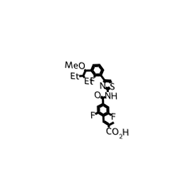 CCC(CC)C(OC)c1cccc(-c2csc(NC(=O)c3cc(F)c(/C=C(\C)C(=O)O)c(F)c3)n2)c1F